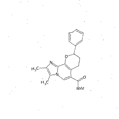 CNC(=O)c1cn2c(C)c(C)nc2c2c1CCC(c1ccccc1)O2